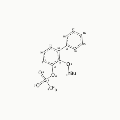 CCCCOc1c(OS(=O)(=O)C(F)(F)F)cccc1-c1ccccc1